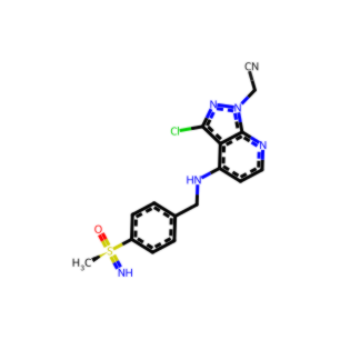 C[S@@](=N)(=O)c1ccc(CNc2ccnc3c2c(Cl)nn3CC#N)cc1